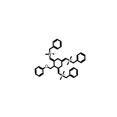 C[N+](C)(C=C1CC(=C[N+](C)(C)Cc2ccccc2)C(COc2ccccc2)C(=C[N+](C)(C)Cc2ccccc2)C1)Cc1ccccc1